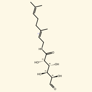 CC(C)=CCC/C(C)=C/CNC(=O)[C@@H](O)[C@H](O)[C@H](O)[C@@H](O)C=O